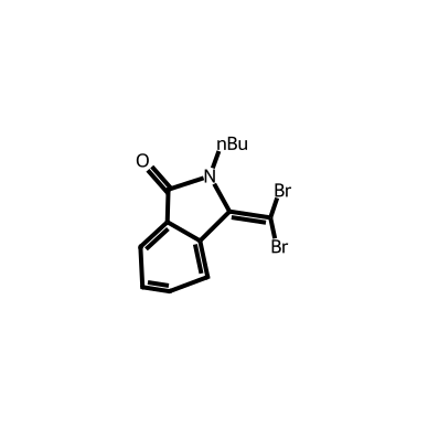 CCCCN1C(=O)c2ccccc2C1=C(Br)Br